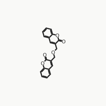 O=c1oc2ccccc2cc1COCc1cc2ccccc2oc1=O